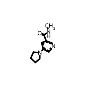 CNC(=O)c1cncc(N2CCCC2)c1